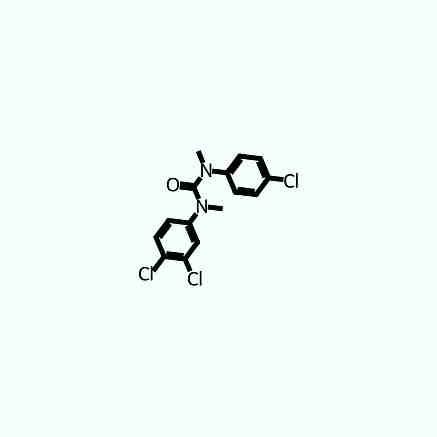 CN(C(=O)N(C)c1ccc(Cl)c(Cl)c1)c1ccc(Cl)cc1